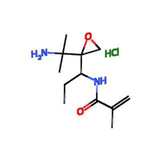 C=C(C)C(=O)NC(CC)C1(C(C)(C)N)CO1.Cl